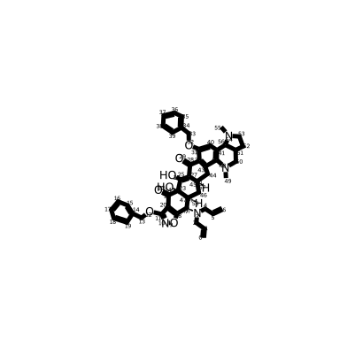 C=CCN(CC=C)[C@@H]1c2onc(OCc3ccccc3)c2C(=O)[C@@]2(O)C(O)=C3C(=O)c4c(OCc5ccccc5)cc5c(c4C[C@H]3C[C@@H]12)N(C)CC1CCN(C)C51